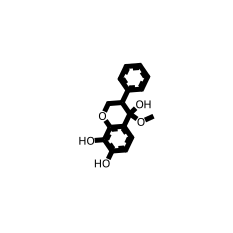 COC1(O)c2ccc(O)c(O)c2OCC1c1ccccc1